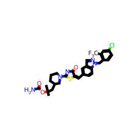 CC(C)(CC1CCCN(C2=NC(=O)C(=Cc3ccc4c(cnn4Cc4ccc(Cl)cc4C(F)(F)F)c3)S2)C1)OC(N)=O